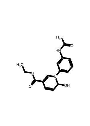 CCOC(=O)C1=CN(c2cccc(NC(C)=O)c2)C(O)C=C1